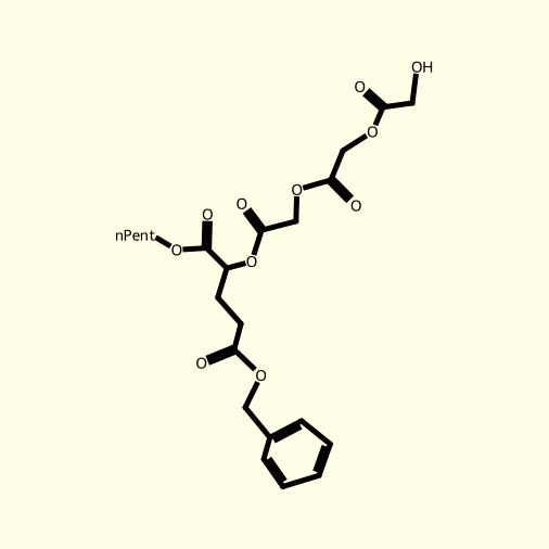 CCCCCOC(=O)C(CCC(=O)OCc1ccccc1)OC(=O)COC(=O)COC(=O)CO